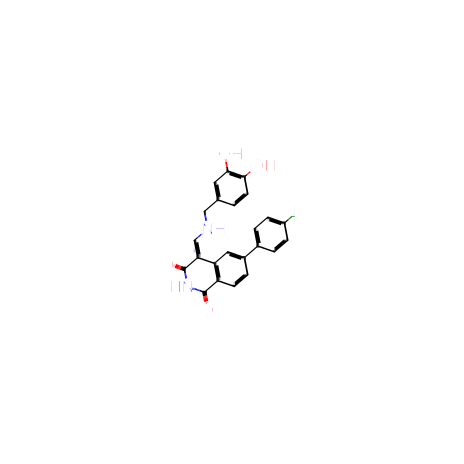 O=C1NC(=O)c2ccc(-c3ccc(F)cc3)cc2/C1=C\NCc1ccc(O)c(O)c1